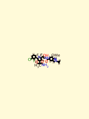 COc1cc(C(=O)NC[C@@](O)(c2cc3c(c(-c4cccc(Cl)c4F)n2)OC[C@]3(C)C(N)=O)C(F)(F)F)cc2cn(C3CC3)nc12